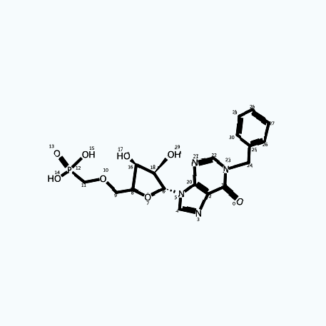 O=c1c2ncn([C@@H]3OC(COCP(=O)(O)O)[C@@H](O)[C@H]3O)c2ncn1Cc1ccccc1